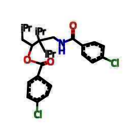 CC(C)CC(OC(=O)c1ccc(Cl)cc1)C(CNC(=O)c1ccc(Cl)cc1)(C(C)C)C(C)C